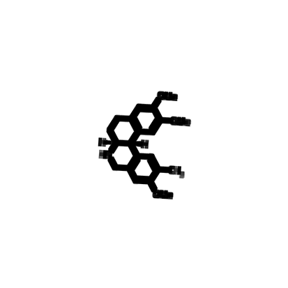 COc1cc2c(cc1C)[C@H]1c3cc(OC)c(OC)cc3CC[C@@H]1NC2